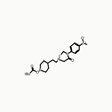 C[S+]([O-])c1ccc(N2CCN(CCC3CCN(OC(=O)C(C)(C)C)CC3)CC2=O)cc1